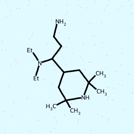 CCN(CC)C(CCN)C1CC(C)(C)NC(C)(C)C1